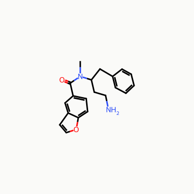 CN(C(=O)c1ccc2occc2c1)C(CCN)Cc1ccccc1